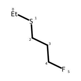 CCSCCCF